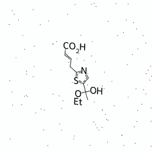 CCOC(C)(O)c1cnc(C/C=C/C(=O)O)s1